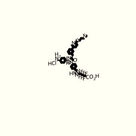 CN(C)CCCOc1ccc(-c2cccc(C[C@H](NC(=O)[C@H]3CC[C@H](CN)CC3)C(=O)Nc3ccc(-c4nc(C(F)(F)C(F)(F)C(F)(F)C(=O)O)n[nH]4)cc3)c2)cn1.Cl